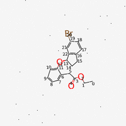 CCOC(=O)Cc1ccccc1O[C@@H]1CCc2ccc(Br)cc21